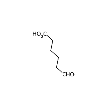 O=[C]CCCCC(=O)O